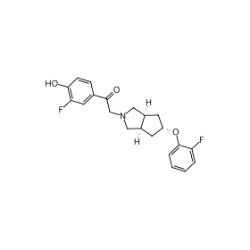 O=C(CN1C[C@H]2C[C@H](Oc3ccccc3F)C[C@H]2C1)c1ccc(O)c(F)c1